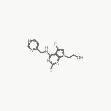 OCCn1cc(F)c2c(NCc3ccncn3)nc(Cl)nc21